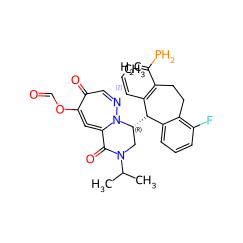 C=C(P)C1=C(/C=C\C)C([C@@H]2CN(C(C)C)C(=O)C3=C=C(OC=O)C(=O)C=NN32)c2cccc(F)c2CC1